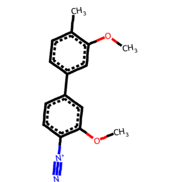 COc1cc(-c2ccc([N+]#N)c(OC)c2)ccc1C